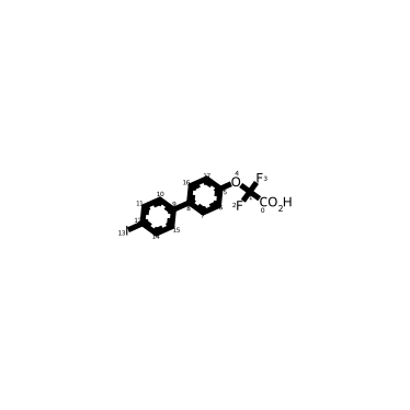 O=C(O)C(F)(F)Oc1ccc(-c2ccc(I)cc2)cc1